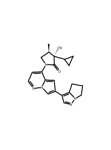 C[C@@H]1CN(c2ccnn3cc(-c4cnn5c4CCC5)cc23)C(=O)[C@]1(C#N)C1CC1